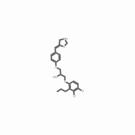 CCCc1c(OCC(O)COc2ccc(C=C3CNCS3)cc2)ccc(Cl)c1Cl